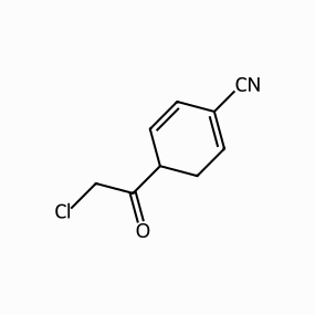 N#CC1=CCC(C(=O)CCl)C=C1